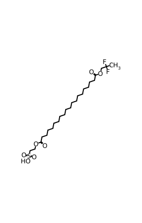 CC(F)(F)COC(=O)CCCCCCCCCCCCCCCCCCC(=O)OCCS(=O)(=O)O